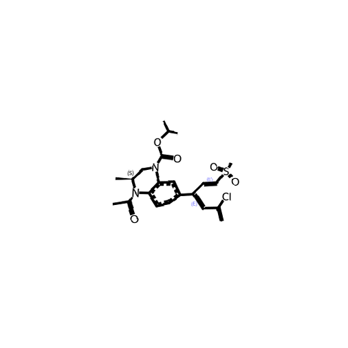 C=C(Cl)/C=C(\C=C\S(C)(=O)=O)c1ccc2c(c1)N(C(=O)OC(C)C)C[C@H](C)N2C(C)=O